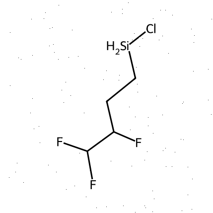 FC(F)C(F)CC[SiH2]Cl